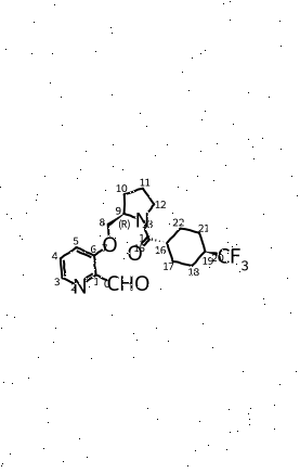 O=Cc1ncccc1OC[C@H]1CCCN1C(=O)[C@H]1CC[C@H](C(F)(F)F)CC1